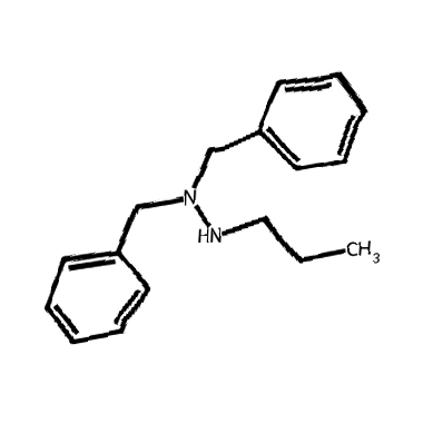 CCCNN(Cc1ccccc1)Cc1ccccc1